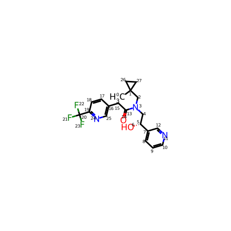 CC1(CN(C[C@@H](O)c2cccnc2)C(=O)Cc2ccc(C(F)(F)F)nc2)CC1